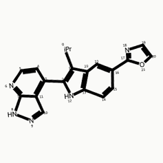 CC(C)c1c(-c2ccnc3[nH]ncc23)[nH]c2ccc(-c3n[c]co3)cc12